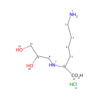 Cl.NCCCCC(NCC(O)CO)C(=O)O